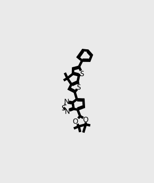 CC1(C)c2cc(-c3ccccc3)sc2-c2sc(-c3ccc(C4OC(C)(C)C(C)(C)O4)c4nsnc34)cc21